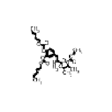 CCCCCOC(=O)Oc1ccc(C[C@H](N)C(=O)O[C@@H](C)C(C)OC(=O)OCC)cc1OC(=O)OCCCCC